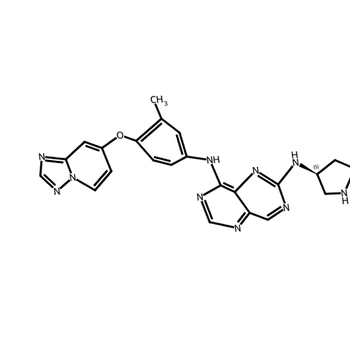 Cc1cc(Nc2ncnc3cnc(N[C@H]4CCNC4)nc23)ccc1Oc1ccn2ncnc2c1